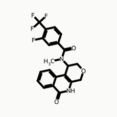 CN(C(=O)c1ccc(C(F)(F)F)c(F)c1)C1COCc2[nH]c(=O)c3ccccc3c21